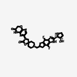 O=C1COc2ncc(N3CC4(CCN(CC5Cc6c(c(F)c7[nH]c([C@H]8NCC[C@@H]8O)nc7c6F)C5)CC4)OC3=O)nc2N1